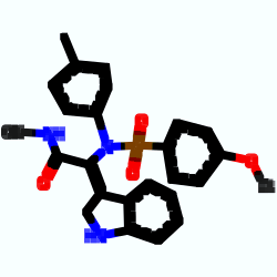 CCOc1ccc(S(=O)(=O)N(C(C(=O)NN=O)=C2CNc3ccccc32)c2ccc(C)cc2)cc1